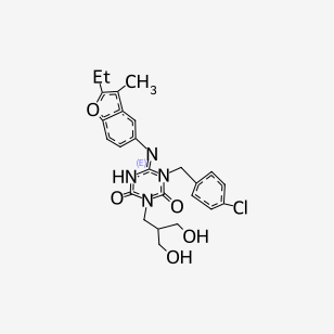 CCc1oc2ccc(/N=c3\[nH]c(=O)n(CC(CO)CO)c(=O)n3Cc3ccc(Cl)cc3)cc2c1C